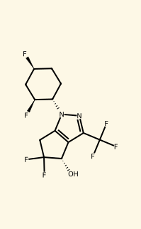 O[C@H]1c2c(C(F)(F)F)nn([C@H]3CC[C@H](F)C[C@@H]3F)c2CC1(F)F